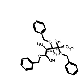 O=C(O)[C@@](O)(OCc1ccccc1)[C@@](O)(OCc1ccccc1)[C@H](O)C(O)OCc1ccccc1